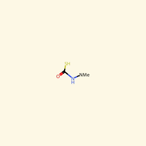 CNNC(=O)S